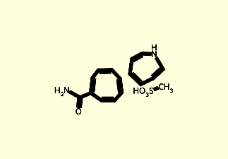 C1=CC=CNC=C1.CS(=O)(=O)O.NC(=O)C1=CC=CC=CC=C1